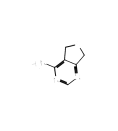 Nc1ncnc2c1CSC2